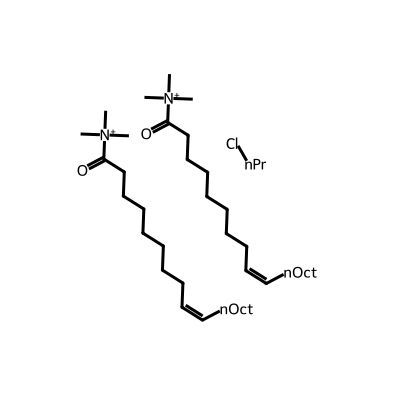 CCCCCCCC/C=C\CCCCCCCC(=O)[N+](C)(C)C.CCCCCCCC/C=C\CCCCCCCC(=O)[N+](C)(C)C.CCCCl